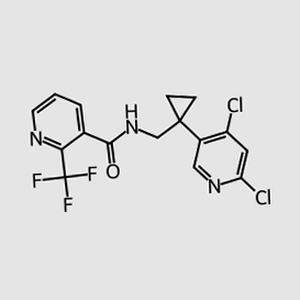 O=C(NCC1(c2cnc(Cl)cc2Cl)CC1)c1cccnc1C(F)(F)F